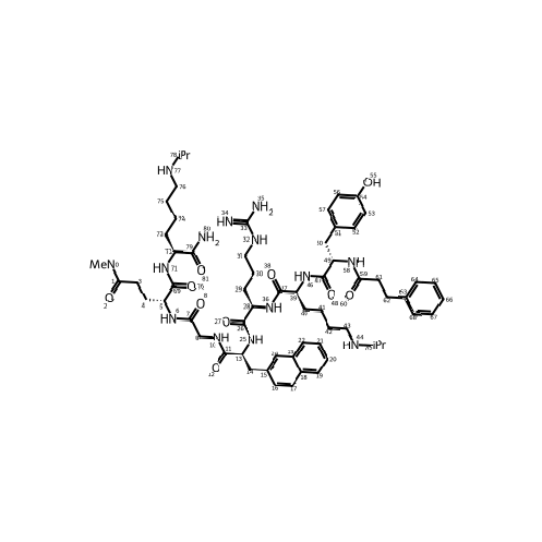 CNC(=O)CC[C@@H](NC(=O)CNC(=O)[C@H](Cc1ccc2ccccc2c1)NC(=O)[C@@H](CCCNC(=N)N)NC(=O)[C@H](CCCCNC(C)C)NC(=O)[C@H](Cc1ccc(O)cc1)NC(=O)CCc1ccccc1)C(=O)N[C@@H](CCCCNC(C)C)C(N)=O